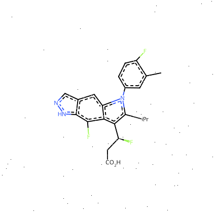 Cc1cc(-n2c(C(C)C)c([C@@H](F)CC(=O)O)c3c(F)c4[nH]ncc4cc32)ccc1F